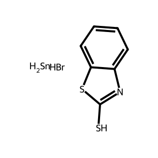 Br.Sc1nc2ccccc2s1.[SnH2]